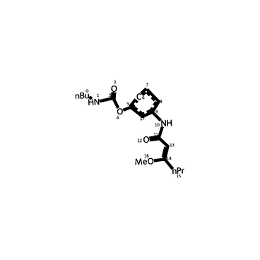 CCCCNC(=O)Oc1cccc(NC(=O)C=C(CCC)OC)c1